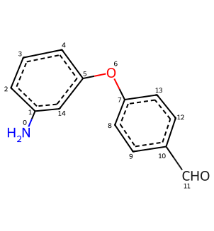 Nc1cccc(Oc2ccc(C=O)cc2)c1